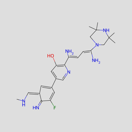 CN/C=C1/C=C(c2cnc(/C(N)=C/C=C(\N)N3CC(C)(C)NC(C)(C)C3)c(O)c2)C=C(F)C1=N